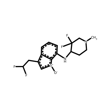 CN1CCC(Nc2cccc3c(CC(F)F)c[s+]([O-])c23)C(F)(F)C1